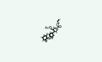 C=CCOC(=O)N1CCC(c2ccc(Nc3c(F)cccc3F)cc2)=C(COC(C)=O)C1